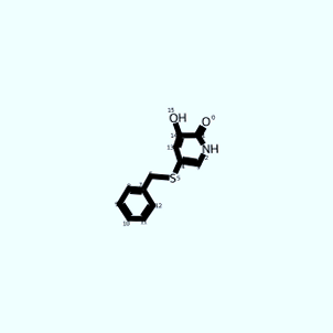 O=c1[nH]cc(SCc2ccccc2)cc1O